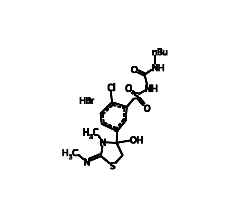 Br.CCCCNC(=O)NS(=O)(=O)c1cc(C2(O)CSC(=NC)N2C)ccc1Cl